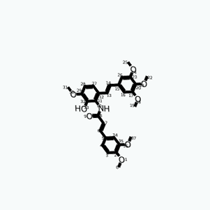 COc1ccc(/C=C/C(=O)Nc2c(/C=C/c3cc(OC)c(OC)c(OC)c3)ccc(OC)c2O)cc1OC